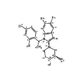 CC(c1ccc(Cl)cc1Cl)n1c(N2CC[C@@H](F)[C@H](N)C2)nc2cc(F)c(F)cc21